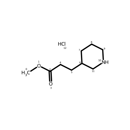 COC(=O)CCC1CCCNC1.Cl